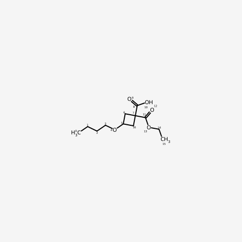 CCCCOC1CC(C(=O)O)(C(=O)OCC)C1